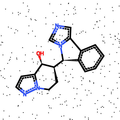 O[C@H]1c2ccnn2CC[C@@H]1[C@H]1c2ccccc2-c2cncn21